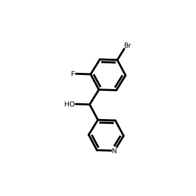 OC(c1ccncc1)c1ccc(Br)cc1F